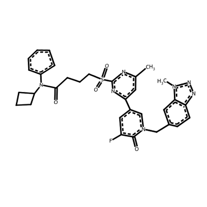 Cc1cc(-c2cc(F)c(=O)n(Cc3ccc4nnn(C)c4c3)c2)nc(S(=O)(=O)CCCC(=O)N(c2ccccc2)C2CCC2)n1